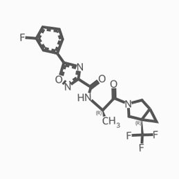 C[C@@H](NC(=O)c1noc(-c2cccc(F)c2)n1)C(=O)N1CC2C[C@]2(C(F)(F)F)C1